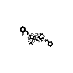 CC1(C)O[C@H]2[C@@H](O1)[C@](n1cnc3c(NCC4CCCC4)ncnc31)(C(F)(F)F)O[C@@H]2C=Cc1ccccc1F